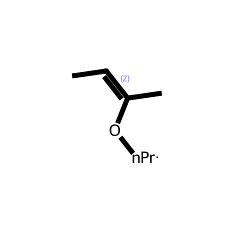 C/C=C(/C)O[CH]CC